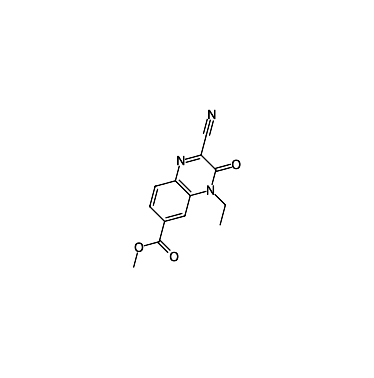 CCn1c(=O)c(C#N)nc2ccc(C(=O)OC)cc21